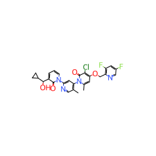 Cc1cnc(-n2cccc([C@@H](O)C3CC3)c2=O)cc1-n1c(C)cc(OCc2ncc(F)cc2F)c(Cl)c1=O